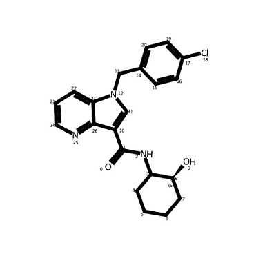 O=C(NC1CCCC[C@@H]1O)c1cn(Cc2ccc(Cl)cc2)c2cccnc12